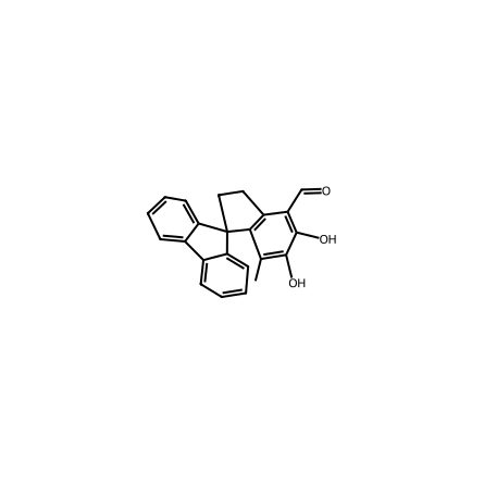 Cc1c(O)c(O)c(C=O)c2c1C1(CC2)c2ccccc2-c2ccccc21